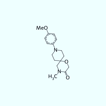 COc1ccc(N2CCC3(CC2)CN(C)C(=O)CO3)cc1